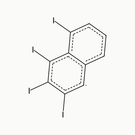 Ic1[c]c2cccc(I)c2c(I)c1I